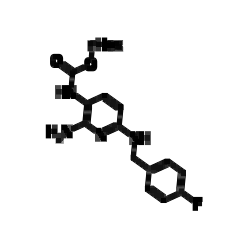 CCCCCCOC(=O)Nc1ccc(NCc2ccc(F)cc2)nc1N